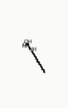 CCCCCCCCC=CCCCCCCCCNCCNCC(=O)O